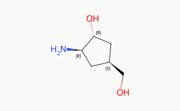 N[C@@H]1C[C@H](CO)C[C@H]1O